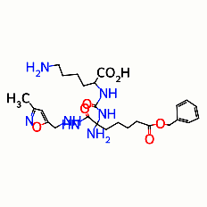 Cc1cc(CNNC(=O)C(N)(CCCCC(=O)OCc2ccccc2)NC(=O)NC(CCCCN)C(=O)O)on1